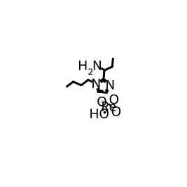 CCCCn1ccnc1C(N)CC.[O]=[Re](=[O])(=[O])[OH]